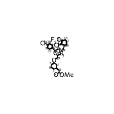 COC(=O)C=C1C=CC=C(OCCCN(Cc2cccc(C(F)(F)F)c2Cl)CC(C)c2ccc(Cl)cc2)C1